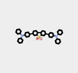 O=S1(=O)c2cc(-c3ccc(N(c4ccccc4)c4ccccc4)cc3)ccc2-c2ccc(-c3ccc(N(c4ccccc4)c4ccccc4)cc3)cc21